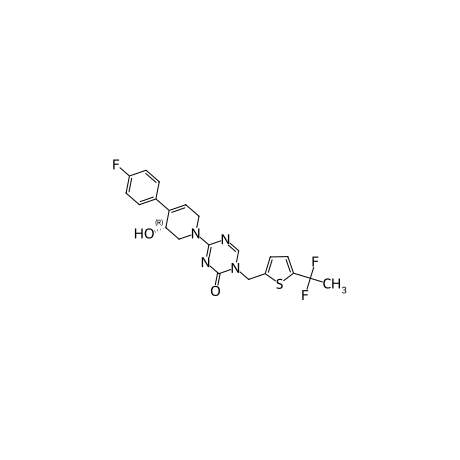 CC(F)(F)c1ccc(Cn2cnc(N3CC=C(c4ccc(F)cc4)[C@@H](O)C3)nc2=O)s1